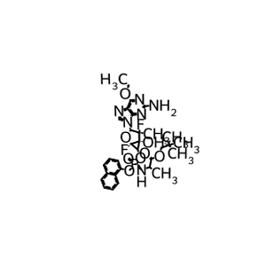 CCOc1nc(N)nc2c1ncn2[C@@H]1O[C@]2(F)C(OP(=O)(NC(C)C(=O)OCC(C)(C)C)Oc3cccc4ccccc34)[C@]2(O)[C@@]1(C)F